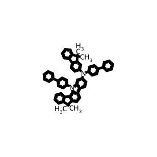 CC1(C)c2ccccc2-c2ccc(N(c3ccc(-c4ccccc4)cc3)c3ccc4c5ccc6c(c5n(-c5ccc(-c7ccccc7)cc5)c4c3)-c3ccccc3C6(C)C)cc21